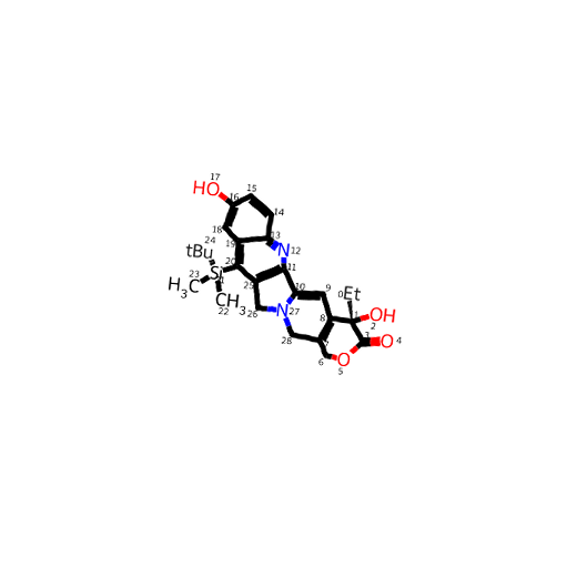 CC[C@@]1(O)C(=O)OCC2=C1C=C1c3nc4ccc(O)cc4c([Si](C)(C)C(C)(C)C)c3CN1C2